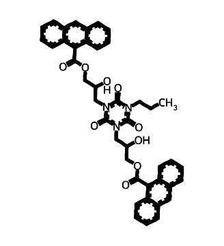 CCCn1c(=O)n(CC(O)COC(=O)c2c3ccccc3cc3ccccc23)c(=O)n(CC(O)COC(=O)c2c3ccccc3cc3ccccc23)c1=O